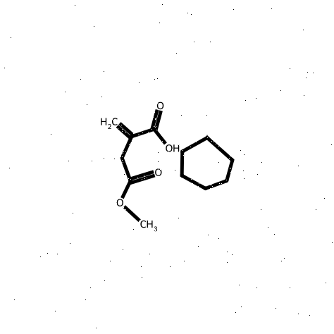 C=C(CC(=O)OC)C(=O)O.[CH]1CCCCC1